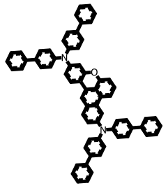 c1ccc(-c2ccc(N(c3ccc(-c4ccccc4)cc3)c3ccc4c(c3)Oc3cccc5c3c-4cc3ccc(N(c4ccc(-c6ccccc6)cc4)c4ccc(-c6ccccc6)cc4)cc35)cc2)cc1